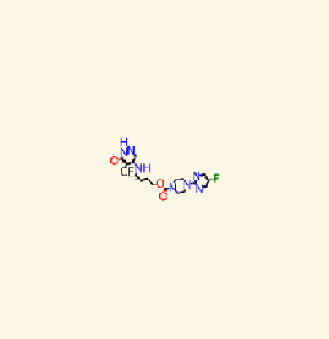 C[C@@H](/C=C/COC(=O)N1CCN(c2ncc(F)cn2)CC1)Nc1cn[nH]c(=O)c1C(F)(F)F